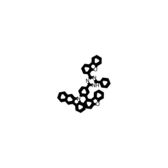 c1ccc(C2=NC(c3cccc4c3oc3ccccc34)=NC(c3ccc(-n4c5ccccc5c5cc6ccccc6cc54)c(-c4cccc5oc6ccccc6c45)c3)N2)cc1